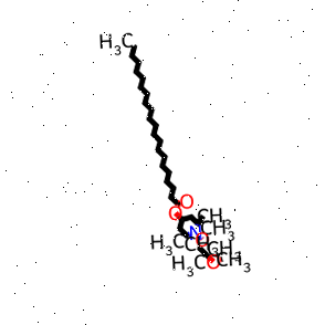 CCCCCCCCCCCCCCCCCCCCCC(=O)OC1CC(C)(C)N(OCC(C)(C)OC)C(C)(C)C1